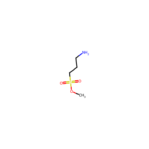 COS(=O)(=O)CCCN